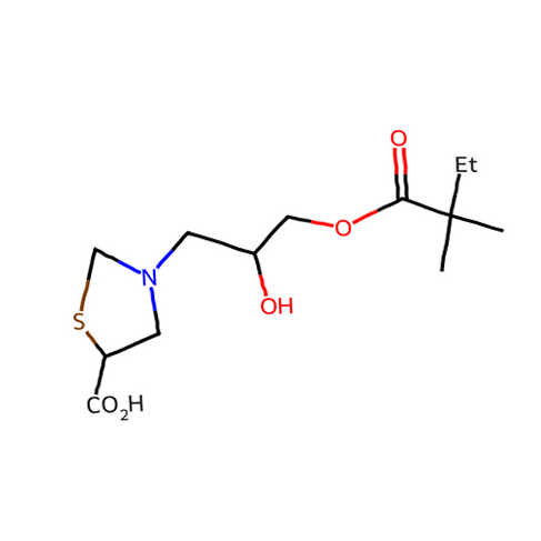 CCC(C)(C)C(=O)OCC(O)CN1CSC(C(=O)O)C1